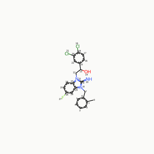 Cc1ccccc1Cn1c(=N)n(CC(O)c2ccc(Cl)c(Cl)c2)c2ccc(F)cc21